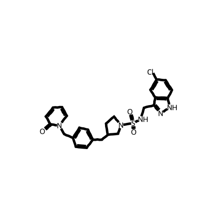 O=c1ccccn1Cc1ccc(CC2CCN(S(=O)(=O)NCc3n[nH]c4ccc(Cl)cc34)C2)cc1